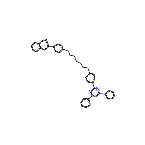 c1ccc(-c2cc(-c3ccccc3)nc(-c3ccc(CCCCCCCc4ccc(-c5ccc6ccccc6c5)cc4)cc3)n2)cc1